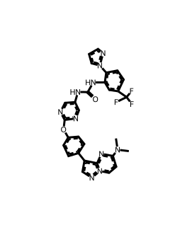 CN(C)c1ccn2ncc(-c3ccc(Oc4ncc(NC(=O)Nc5cc(C(F)(F)F)ccc5-n5cccn5)cn4)cc3)c2n1